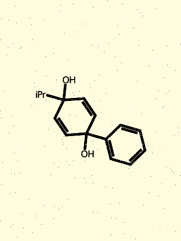 CC(C)C1(O)C=CC(O)(c2ccccc2)C=C1